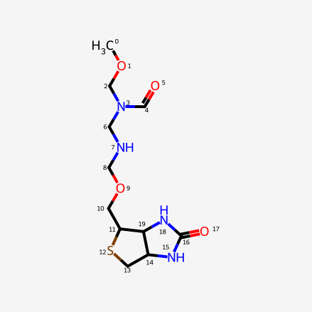 COCN(C=O)CNCOCC1SCC2NC(=O)NC21